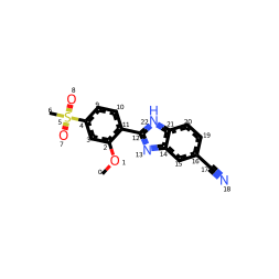 COc1cc(S(C)(=O)=O)ccc1-c1nc2cc(C#N)ccc2[nH]1